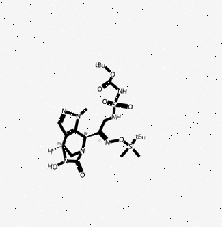 Cn1ncc2c1[C@@H](/C(CNS(=O)(=O)NC(=O)OC(C)(C)C)=N/O[Si](C)(C)C(C)(C)C)N1C[C@H]2N(O)C1=O